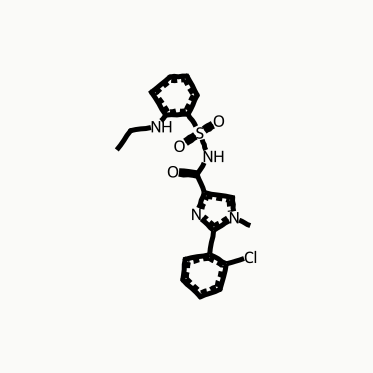 CCNc1ccccc1S(=O)(=O)NC(=O)c1cn(C)c(-c2ccccc2Cl)n1